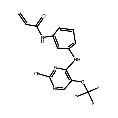 C=CC(=O)Nc1cccc(Nc2nc(Cl)ncc2OC(F)(F)F)c1